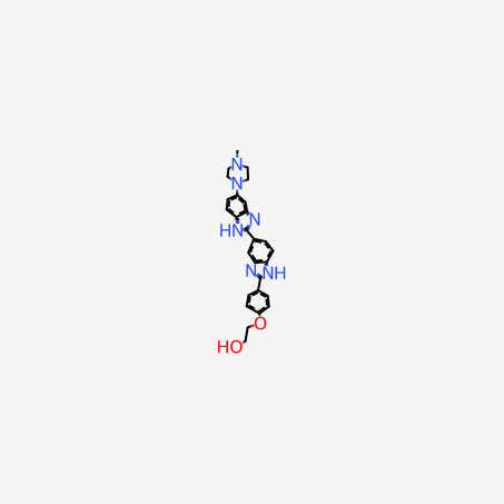 CN1CCN(c2ccc3[nH]c(-c4ccc5[nH]c(-c6ccc(OCCO)cc6)nc5c4)nc3c2)CC1